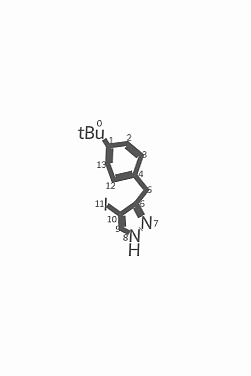 CC(C)(C)c1ccc(Cc2n[nH]cc2I)cc1